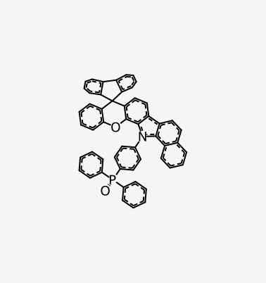 O=P(c1ccccc1)(c1ccccc1)c1ccc(-n2c3c4c(ccc3c3ccc5ccccc5c32)C2(c3ccccc3O4)c3ccccc3-c3ccccc32)cc1